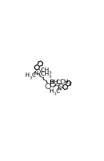 BC1=C(/C=C/C2=[N+](C)c3ccc4ccccc4c3C2(C)C)CCC\C1=C/C=C/C=C1/N(C)c2ccc3ccccc3c2C1(C)C